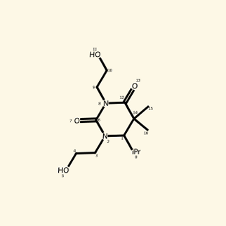 CC(C)C1N(CCO)C(=O)N(CCO)C(=O)C1(C)C